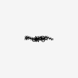 CCCCC[C@H]1CC[C@H](C(=O)Oc2ccc(-c3ncc(OCCCCCC4CCCC4)cn3)cc2)CC1